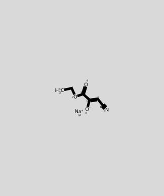 CCOC(=O)/C([O-])=C/C#N.[Na+]